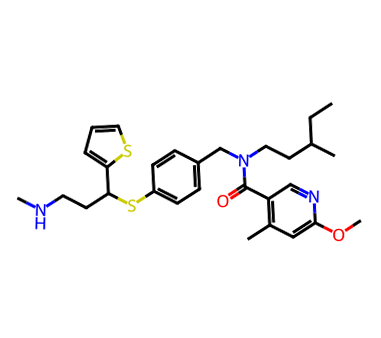 CCC(C)CCN(Cc1ccc(SC(CCNC)c2cccs2)cc1)C(=O)c1cnc(OC)cc1C